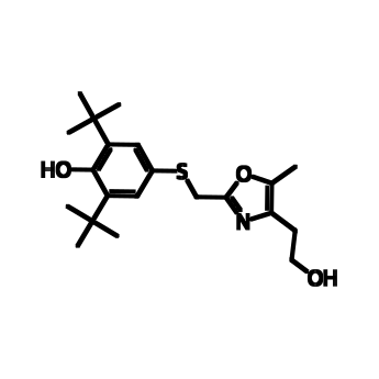 Cc1oc(CSc2cc(C(C)(C)C)c(O)c(C(C)(C)C)c2)nc1CCO